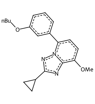 CCCCOc1cccc(-c2ccc(OC)c3nc(C4CC4)nn23)c1